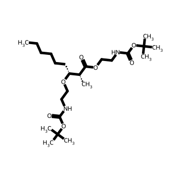 CCCCCC[C@@H](OCCNC(=O)OC(C)(C)C)[C@@H](C)C(=O)OCCNC(=O)OC(C)(C)C